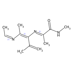 C=C(C)C(/N=C(\C)C(=O)NC)=C(C)\N=C/C